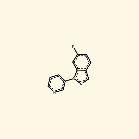 Fc1ccc2cnn(-c3cccnc3)c2c1